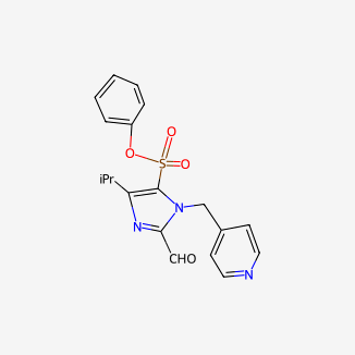 CC(C)c1nc(C=O)n(Cc2ccncc2)c1S(=O)(=O)Oc1ccccc1